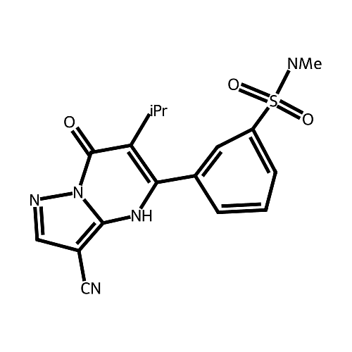 CNS(=O)(=O)c1cccc(-c2[nH]c3c(C#N)cnn3c(=O)c2C(C)C)c1